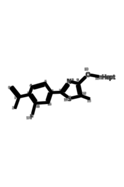 C=C(C)c1ccc(-c2nc(OCCCCCCC)c(C)s2)cc1F